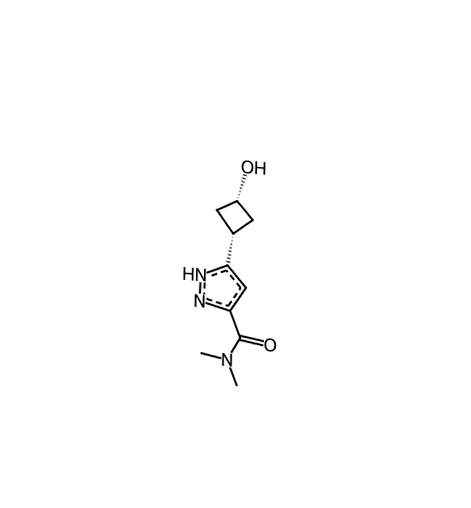 CN(C)C(=O)c1cc([C@H]2C[C@@H](O)C2)[nH]n1